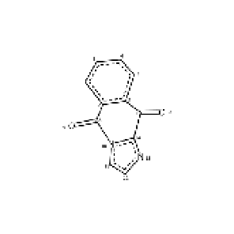 O=C1c2ccccc2C(=O)n2ccnc21